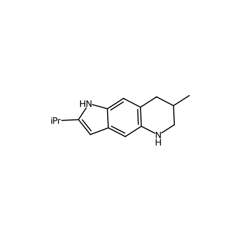 CC1CNc2cc3cc(C(C)C)[nH]c3cc2C1